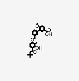 COc1ccc(C(=O)O)cc1-c1cccc(COc2ccc(C(=O)CC(C)(C)C)c(O)c2C)c1